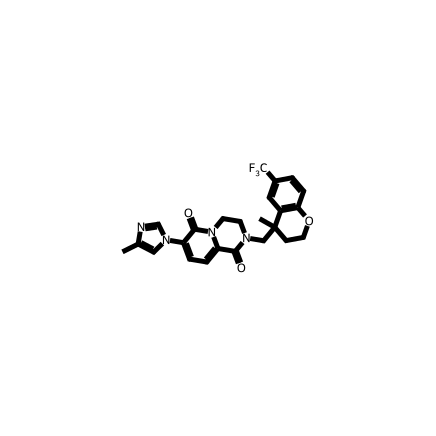 Cc1cn(-c2ccc3n(c2=O)CCN(CC2(C)CCOc4ccc(C(F)(F)F)cc42)C3=O)cn1